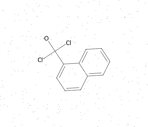 [O]C(Cl)(Cl)c1cccc2ccccc12